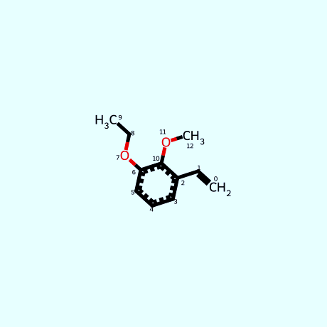 C=Cc1cccc(OCC)c1OC